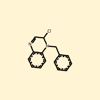 ClC1C=Nc2ccccc2N1Cc1ccccc1